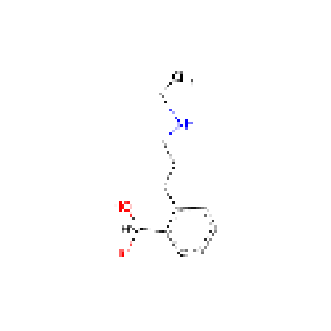 CCNCCCc1ccccc1[SiH](O)O